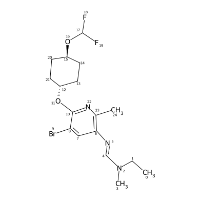 CCN(C)C=Nc1cc(Br)c(O[C@H]2CC[C@H](OC(F)F)CC2)nc1C